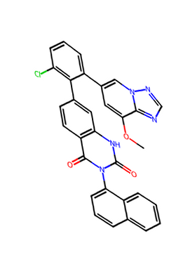 COc1cc(-c2cccc(Cl)c2-c2ccc3c(=O)n(-c4cccc5ccccc45)c(=O)[nH]c3c2)cn2ncnc12